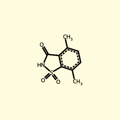 Cc1ccc(C)c2c1C(=O)NS2(=O)=O